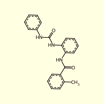 Cc1ccccc1C(=O)Nc1ccccc1NC(=O)Nc1ccccc1